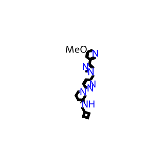 COc1cncc(-c2cn(Cc3ccc(N4CCC[C@@H](NCC5CCC5)C4)nn3)cn2)c1